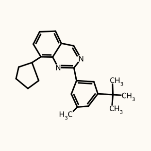 Cc1cc(-c2ncc3cccc(C4CCCC4)c3n2)cc(C(C)(C)C)c1